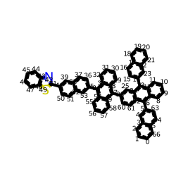 c1ccc2cc(-c3c4ccccc4c(-c4ccc5ccccc5c4)c4cc(-c5c6ccccc6c(-c6ccc7cc(-c8nc9ccccc9s8)ccc7c6)c6ccccc56)ccc34)ccc2c1